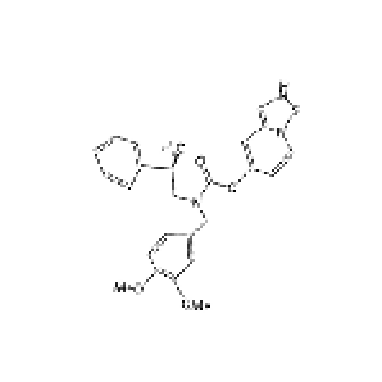 COc1ccc(CN(C[C@H](C)c2ccccc2)C(=O)OC2=CC3=CNSN3C=C2)cc1OC